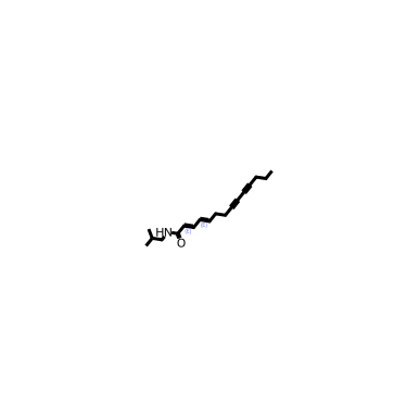 CCCC#CC#CCC/C=C/C=C/C(=O)NCC(C)C